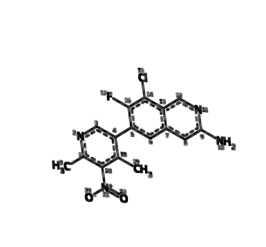 Cc1ncc(-c2cc3cc(N)ncc3c(Cl)c2F)c(C)c1[N+](=O)[O-]